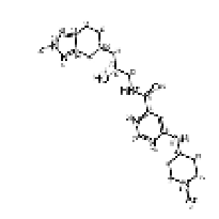 CC(=O)N1CCC(Nc2cc(C(=O)NC[C@H](O)CN3CCc4cn(C)nc4C3)ncn2)CC1